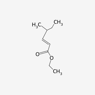 CCOC(=O)C=CC(C)CC